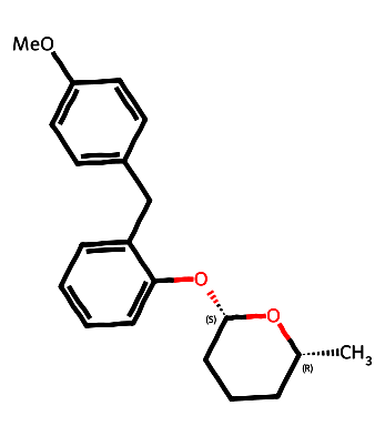 COc1ccc(Cc2ccccc2O[C@H]2CCC[C@@H](C)O2)cc1